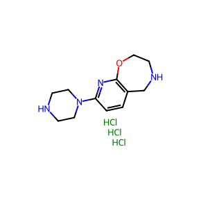 Cl.Cl.Cl.c1cc2c(nc1N1CCNCC1)OCCNC2